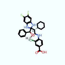 COC(c1ccccc1)C1([C@@H](C(=O)Nc2ccc(C(=O)O)cc2Cl)C2CCCCC2)Nc2cc(F)c(F)cc2N1